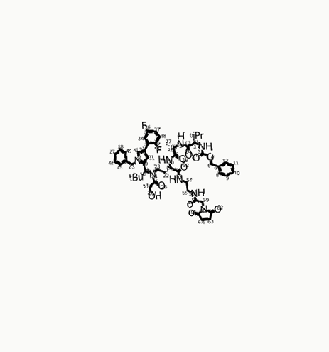 CC(C)[C@H](NC(=O)OCc1ccccc1)C(=O)N[C@@H](C)C(=O)N[C@@H](CCN(C(=O)CO)[C@@H](c1cc(-c2cc(F)ccc2F)cn1Cc1ccccc1)C(C)(C)C)C(=O)NCCNC(=O)CN1C(=O)C=CC1=O